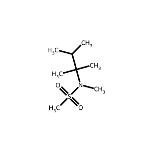 CC(C)C(C)(C)N(C)S(C)(=O)=O